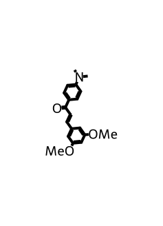 COc1cc(/C=C/C(=O)c2ccc(N(C)C)cc2)cc(OC)c1